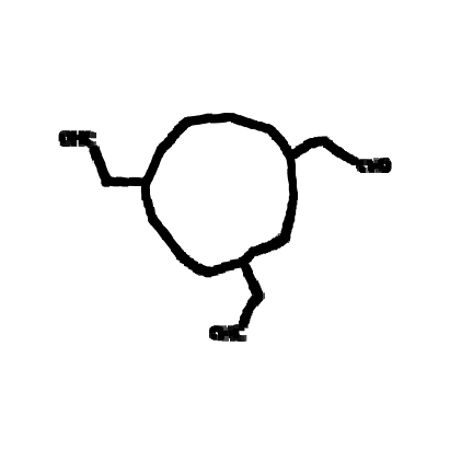 O=CCC1CCCCC(CC=O)CCC(CC=O)CCC1